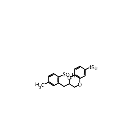 Cc1ccc(S(=O)(=O)O)c(CC2COc3cc(C(C)(C)C)ccc3O2)c1